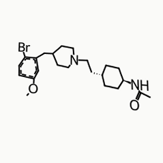 COc1ccc(Br)c(CC2CCN(CC[C@H]3CC[C@H](NC(C)=O)CC3)CC2)c1